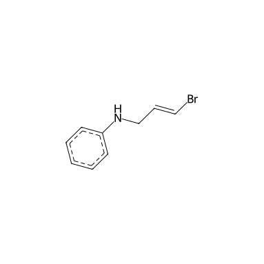 BrC=CCNc1ccccc1